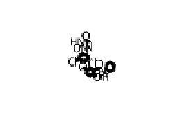 CCN(C(=O)c1cc(Oc2c(Cl)cc(-n3ncc(=O)[nH]c3=O)cc2Cl)ccc1O)C1CCCCC1